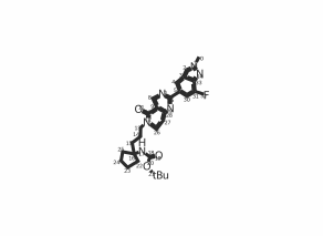 Cn1cc2cc(-c3ncc4c(=O)n(CCCC5(NC(=O)OC(C)(C)C)CCCC5)ccc4n3)cc(F)c2n1